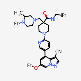 CCOc1cc(-c2ccc(N3CCC(CN4CCN(CC)C(C)C4)(C(=O)NCC(C)C)CC3)nc2)c2c(C#N)cnn2c1